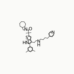 Cc1cc(C)cc(-c2[nH]c3sc(C(C)(C)C(=O)N4CC5CCCCCC54)cc3c2CCNCCCCc2ccncc2)c1